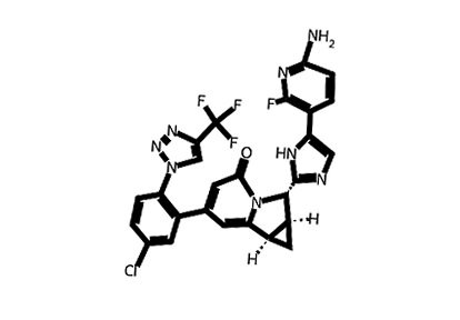 Nc1ccc(-c2cnc([C@@H]3[C@H]4C[C@H]4c4cc(-c5cc(Cl)ccc5-n5cc(C(F)(F)F)nn5)cc(=O)n43)[nH]2)c(F)n1